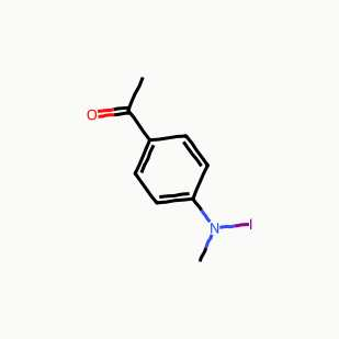 CC(=O)c1ccc(N(C)I)cc1